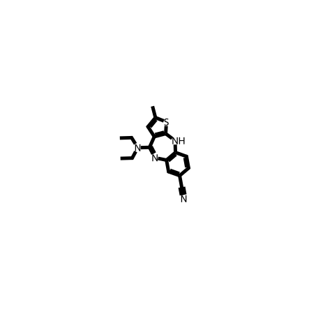 CCN(CC)C1=Nc2cc(C#N)ccc2Nc2sc(C)cc21